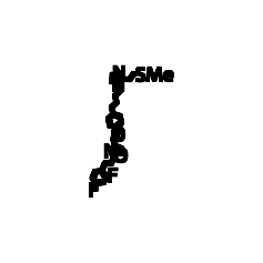 CSCCc1nccn1CCCCc1ccc(OCc2coc(C=Cc3ccc(F)cc3F)n2)cc1